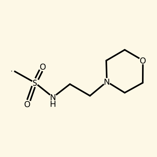 [CH2]S(=O)(=O)NCCN1CCOCC1